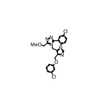 COCc1nnc2n1Cc1c(COc3cccc(Cl)c3)ncn1-c1ccc(Cl)cc1-2